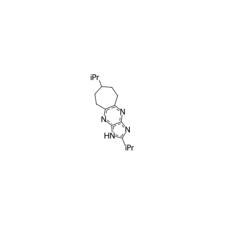 CC(C)c1nc2nc3c(nc2[nH]1)CCC(C(C)C)CC3